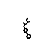 C=CC(C)CC(C)Cc1ccc(-c2ccccc2)cc1